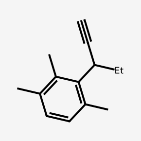 [C]#CC(CC)c1c(C)ccc(C)c1C